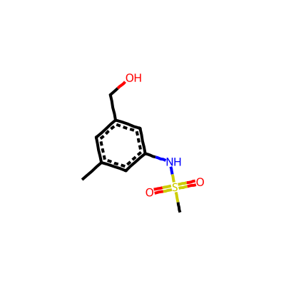 Cc1cc(CO)cc(NS(C)(=O)=O)c1